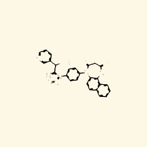 CC(c1cccnc1)c1nnnn1-c1ccc(N2C(=O)CC(=O)Nc3c2ccc2ccccc32)cc1